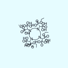 CCOP(=O)(O)C(N1CCN(C(P(=O)(O)O)P(=O)(O)OCC)CCN(C(P(=O)(O)O)P(=O)(O)OCC)CCN(C(P(=O)(O)O)P(=O)(O)OCC)CC1)P(=O)(O)O